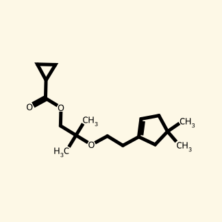 CC1(C)CC=C(CCOC(C)(C)COC(=O)C2CC2)C1